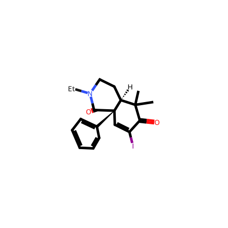 CCN1CC[C@H]2C(C)(C)C(=O)C(I)=C[C@]2(c2ccccc2)C1=O